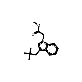 COC(=O)Cn1cc(CC(C)(C)C)c2ccccc21